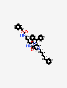 O=C(NCCCCC1NC(=O)C2(CCN(CCCCCCc3ccccc3)CC2)N(CC(c2ccccc2)c2ccccc2)C1=O)OCc1ccccc1